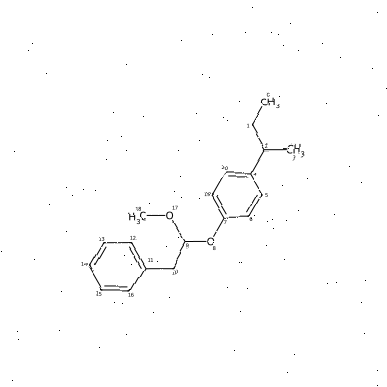 CCC(C)c1ccc(OC(Cc2ccccc2)OC)cc1